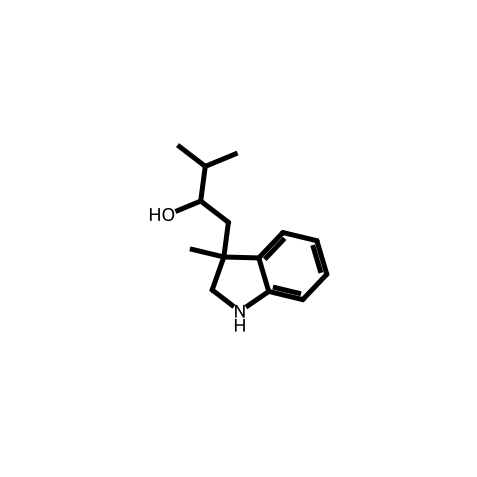 CC(C)C(O)CC1(C)CNc2ccccc21